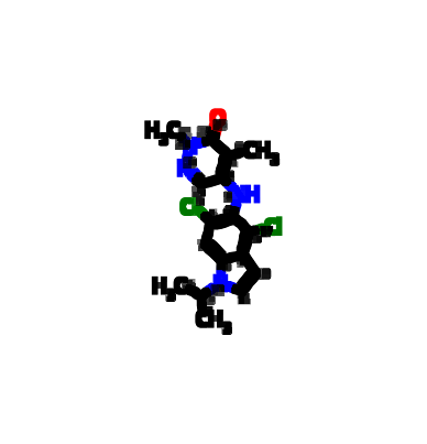 Cc1c(Nc2c(Cl)cc3c(ccn3C(C)C)c2Cl)cnn(C)c1=O